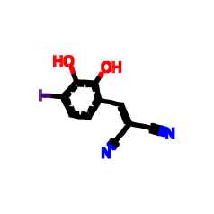 N#CC(C#N)=Cc1ccc(I)c(O)c1O